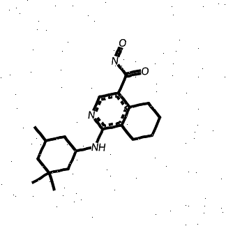 CC1CC(Nc2ncc(C(=O)N=O)c3c2CCCC3)CC(C)(C)C1